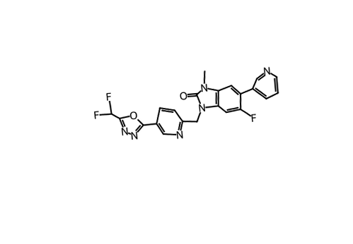 Cn1c(=O)n(Cc2ccc(-c3nnc(C(F)F)o3)cn2)c2cc(F)c(-c3cccnc3)cc21